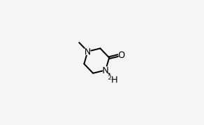 [2H]N1CCN(C)CC1=O